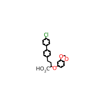 O=C(O)C(CCc1ccc(-c2ccc(Cl)cc2)cc1)Oc1ccc2c(c1)OCO2